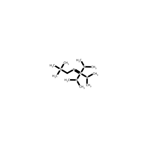 CN(C)P(=NC[Si](C)(C)C)(N(C)C)N(C)C